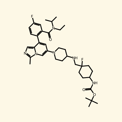 CCN(C(=O)c1cc(F)ccc1-c1cc(N2CCC(NCC3(F)CCC(NC(=O)OC(C)(C)C)CC3)CC2)cn2c(C)ncc12)C(C)C